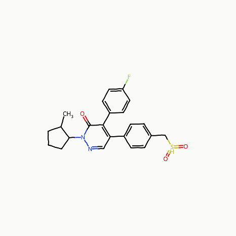 CC1CCCC1n1ncc(-c2ccc(C[SH](=O)=O)cc2)c(-c2ccc(F)cc2)c1=O